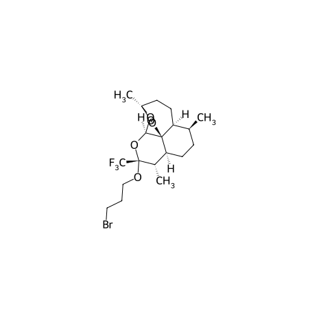 C[C@H]1CC[C@H]2[C@H](C)[C@@](OCCCBr)(C(F)(F)F)O[C@H]3O[C@]4(C)CC[C@@H]1[C@@]32OO4